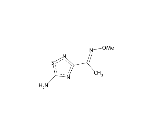 CON=C(C)c1nsc(N)n1